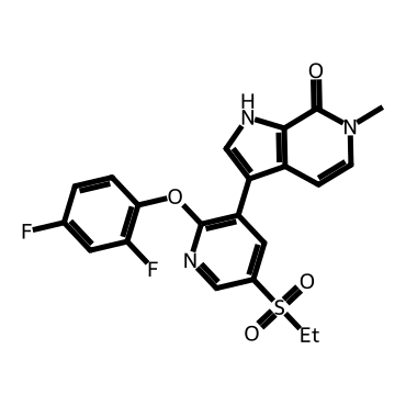 CCS(=O)(=O)c1cnc(Oc2ccc(F)cc2F)c(-c2c[nH]c3c(=O)n(C)ccc23)c1